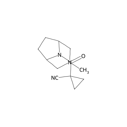 CN1CC2CCC(C1)N2C(=O)C1(C#N)CC1